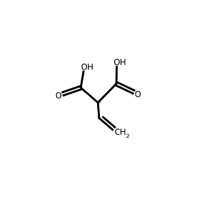 C=C[C](C(=O)O)C(=O)O